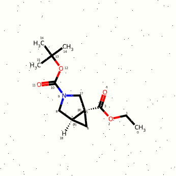 CCOC(=O)[C@]12C[C@H]1CN(C(=O)OC(C)(C)C)C2